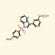 COc1ccc(S(=O)(=O)n2cc(-c3cccc(CC(=O)O)c3)c3ccccc32)cc1